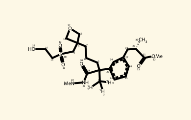 [2H]C([2H])([2H])C(CCCC1(CS(=O)(=O)CCO)COC1)(C(=O)NNC)c1cccc(C[C@H](C)C(=O)OC)c1